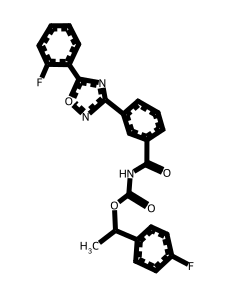 CC(OC(=O)NC(=O)c1cccc(-c2noc(-c3ccccc3F)n2)c1)c1ccc(F)cc1